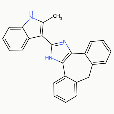 Cc1[nH]c2ccccc2c1-c1nc2c([nH]1)-c1ccccc1Cc1ccccc1-2